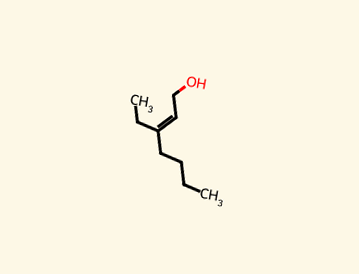 CCCCC(=CCO)CC